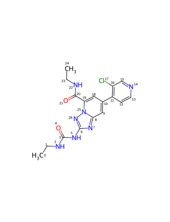 CCNC(=O)Nc1nc2cc(-c3ccncc3Cl)cc(C(=O)NCC)n2n1